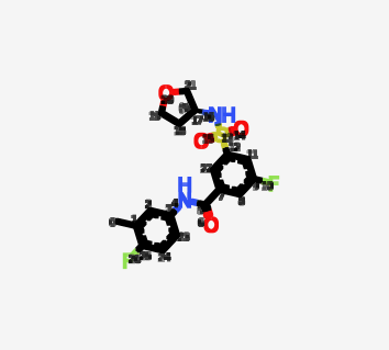 Cc1cc(NC(=O)c2cc(F)cc(S(=O)(=O)N[C@H]3CCOC3)c2)ccc1F